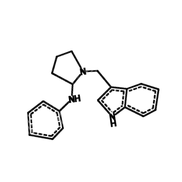 c1ccc(NC2CCCN2Cc2c[nH]c3ccccc23)cc1